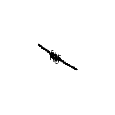 CCCCCCCCCCCCCCCCCC(=S)n1c2ncnc3c(ncn3C(=S)CCCCCCCCCCCCC)c-2nc1=O